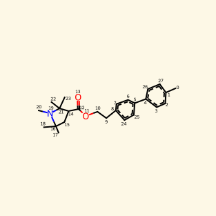 Cc1ccc(-c2ccc(CCOC(=O)C3CC(C)(C)N(C)C3(C)C)cc2)cc1